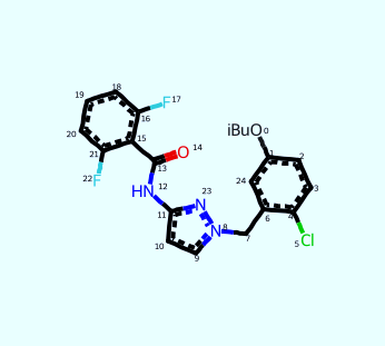 CC(C)COc1ccc(Cl)c(Cn2ccc(NC(=O)c3c(F)cccc3F)n2)c1